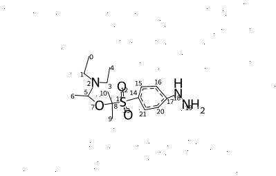 CCN(CC)C(C)OC(C)(C)S(=O)(=O)c1ccc(NN)cc1